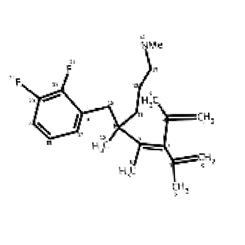 C=C(C)C(C(=C)C)=C(C)C(C)(CCCNC)Cc1cccc(F)c1F